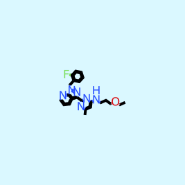 CCOCCCNc1cc(C)nc(-c2nn(Cc3ccccc3F)c3ncccc23)n1